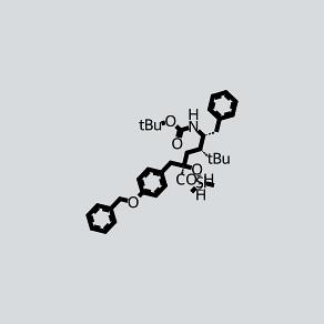 C[SiH](C)O[C@@](Cc1ccc(OCc2ccccc2)cc1)(C[C@H]([C@@H](Cc1ccccc1)NC(=O)OC(C)(C)C)C(C)(C)C)C(=O)O